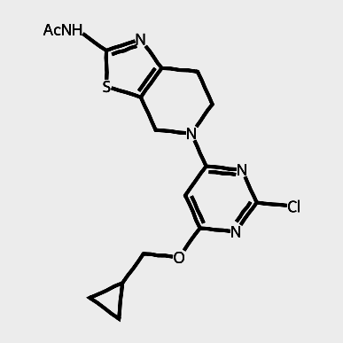 CC(=O)Nc1nc2c(s1)CN(c1cc(OCC3CC3)nc(Cl)n1)CC2